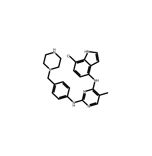 Cc1cnc(Nc2ccc(CN3CCNCC3)cc2)nc1Nc1ccc(Cl)c2[nH]ccc12